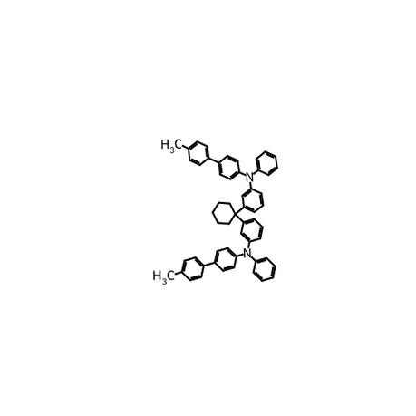 Cc1ccc(-c2ccc(N(c3ccccc3)c3cccc(C4(c5cccc(N(c6ccccc6)c6ccc(-c7ccc(C)cc7)cc6)c5)CCCCC4)c3)cc2)cc1